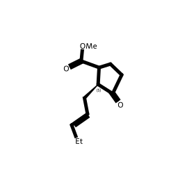 CCC=CC[C@@H]1C(=O)CCC1C(=O)OC